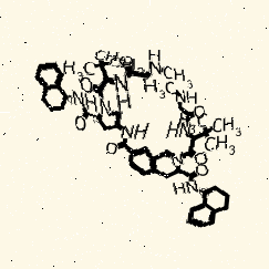 CNCC(=O)NC(C(=O)N1Cc2cc(C(=O)NC3C[C@@H](C(=O)N[C@@H]4CCCc5ccccc54)N(C(=O)C(NC(=O)CNC)C(C)(C)C)C3)ccc2CC1C(=O)N[C@@H]1CCCc2ccccc21)C(C)(C)C